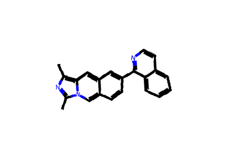 Cc1nc(C)n2cc3ccc(-c4nccc5ccccc45)cc3cc12